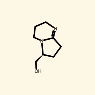 OC[C@@H]1CCC2=NCCCN21